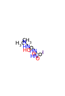 CN(C)C/C=C/Nc1ccc(CN/C=C2\C(=O)NC(=O)c3ccc(I)cc32)cc1O